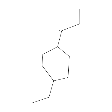 CC[CH]C1CCC(CC)CC1